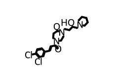 O=C(/C=C/c1ccc(Cl)c(Cl)c1)N1CCC(=O)N(CC[C@H](O)CN2CCCCC2)CC1